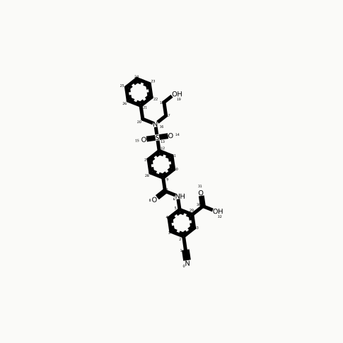 N#Cc1ccc(NC(=O)c2ccc(S(=O)(=O)N(CCO)Cc3ccccc3)cc2)c(C(=O)O)c1